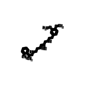 COc1ccc(CCNCCCCCCNCC(C)c2ccccc2C)cc1OC.Cl.Cl